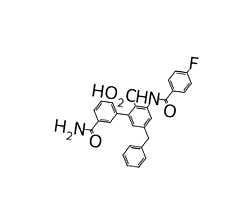 NC(=O)c1cccc(-c2cc(Cc3ccccc3)cc(NC(=O)c3ccc(F)cc3)c2C(=O)O)c1